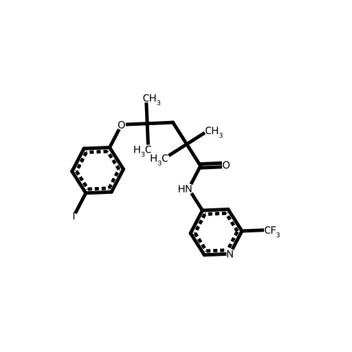 CC(C)(CC(C)(C)C(=O)Nc1ccnc(C(F)(F)F)c1)Oc1ccc(I)cc1